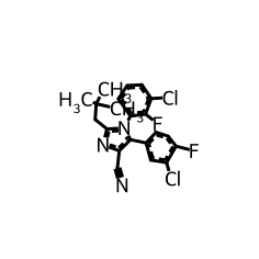 CC(C)(C)Cc1nc(C#N)c(-c2ccc(F)c(Cl)c2)n1-c1cccc(Cl)c1F